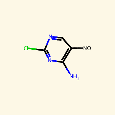 Nc1nc(Cl)ncc1N=O